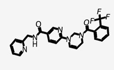 O=C(NCc1ccccn1)c1ccc(N2C=CCN(C(=O)c3ccccc3C(F)(F)F)C2)nc1